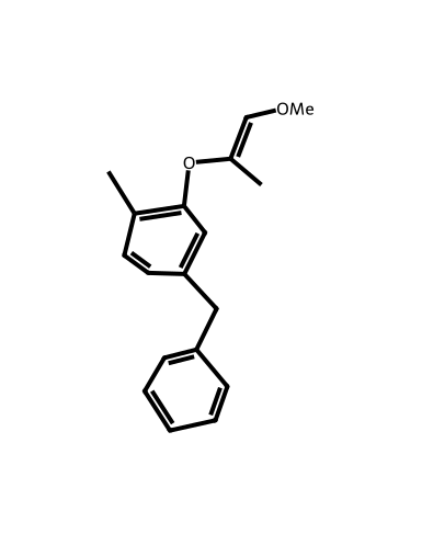 CO/C=C(\C)Oc1cc(Cc2ccccc2)ccc1C